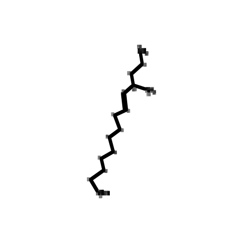 CCCCCCCCCCCCCCCCC=CC(N)CCN